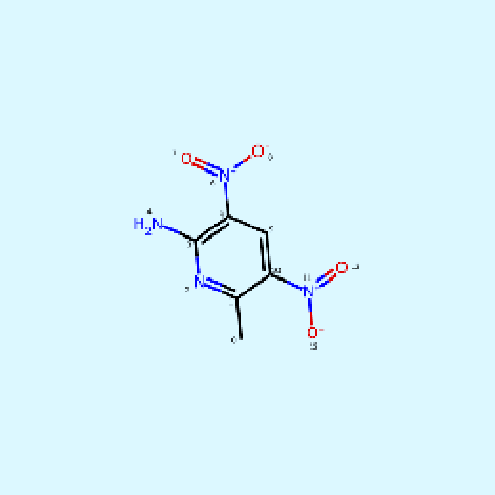 Cc1nc(N)c([N+](=O)[O-])cc1[N+](=O)[O-]